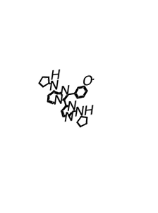 COc1cccc(-c2nc3c(NC4CCCC4)cccn3c2-c2ccnc(NC3CCCC3)n2)c1